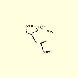 CCCCCCC(C)OC(CS(=O)(=O)O)CS(=O)(=O)O.[NaH]